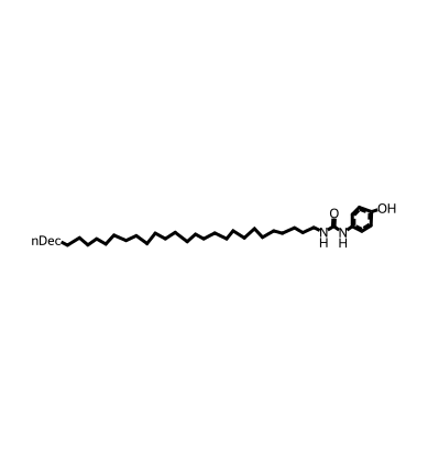 CCCCCCCCCCCCCCCCCCCCCCCCCCCCCCCCCCCCNC(=O)Nc1ccc(O)cc1